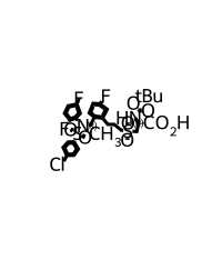 C[C@H](c1ccc(F)cc1CCCS(=O)(=O)C[C@H](NC(=O)OC(C)(C)C)C(=O)O)N(c1cc(F)ccc1F)S(=O)(=O)c1ccc(Cl)cc1